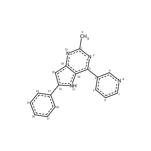 Cc1nc(-c2cccnc2)c2[nH]c(-c3ccccc3)cc2n1